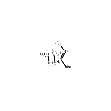 CCCCN=NCCCC.NC(=O)O.NC(=O)O